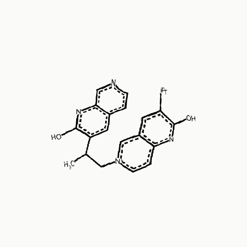 CC(C)c1cc2c[n+](CC(C)c3cc4ccncc4nc3O)ccc2nc1O